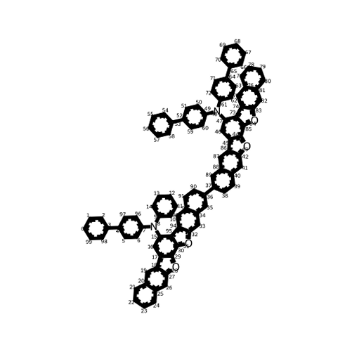 c1ccc(-c2ccc(N(c3ccccc3)c3cc4c5cc6ccccc6cc5oc4c4oc5cc6cc(-c7ccc8cc9oc%10c(cc(N(c%11ccc(-c%12ccccc%12)cc%11)c%11ccc(-c%12ccccc%12)cc%11)c%11c%12cc%13ccccc%13cc%12oc%10%11)c9cc8c7)ccc6cc5c34)cc2)cc1